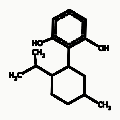 CC1CCC(C(C)C)C(c2c(O)cccc2O)C1